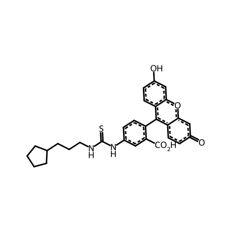 O=C(O)c1cc(NC(=S)NCCCC2CCCC2)ccc1-c1c2ccc(=O)cc-2oc2cc(O)ccc12